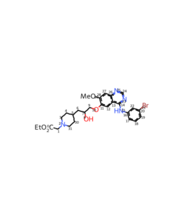 CCOC(=O)CN1CCC(CC(O)COc2cc3c(Nc4cccc(Br)c4)ncnc3cc2OC)CC1